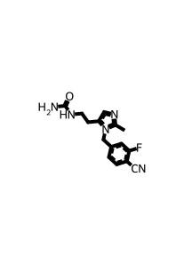 Cc1ncc(CCNC(N)=O)n1Cc1ccc(C#N)c(F)c1